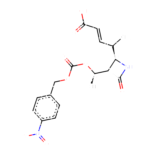 CC(/C=C/C(=O)O)[C@H]1NC(=O)[C@@H]1[C@@H](C)OC(=O)OCc1ccc([N+](=O)[O-])cc1